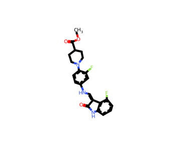 COC(=O)C1CCN(c2ccc(NC=C3C(=O)Nc4cccc(F)c43)cc2F)CC1